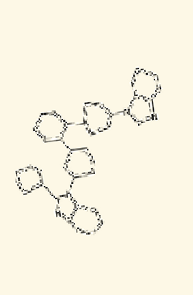 c1ccc(-c2nc3ccccc3n2-c2cccc(-c3ccccc3-c3ccc(-n4cnc5ccccc54)cc3)c2)cc1